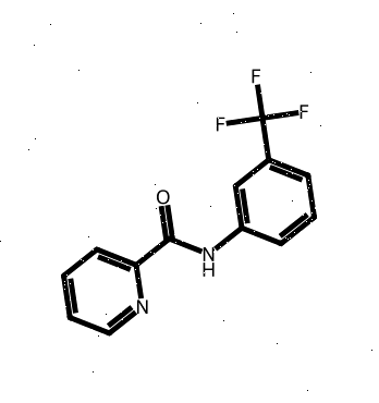 O=C(Nc1cccc(C(F)(F)F)c1)c1ccccn1